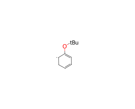 CC(C)(C)OC1=CC=CC[CH]1